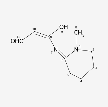 CN1CCCC/C1=N/C(O)=C\C=O